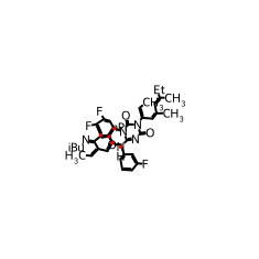 C/C=C1/C=C(Nc2nc(=O)n(C(/C=C(C)\C=C(/C)CC)=C/C)c(=O)n2-c2cc(F)c(F)cc2OCc2cccc(F)c2)C(CCC)=C/C1=N/C(C)CC